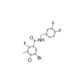 Cc1c(F)c(C(=O)NCc2ccc(F)c(F)c2)cc(Br)c1Cl